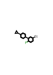 CCc1ccc(F)c(-c2ccc(C3CC3)cc2)c1